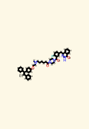 CC/C(=C(\c1ccccc1)c1ccc(OCCN(C)CCCCCC(=O)N2CCN(C(=O)c3cc(Cc4n[nH]c(=O)c5ccccc45)ccc3F)CC2)cc1)c1ccccc1